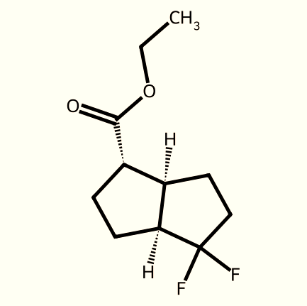 CCOC(=O)[C@H]1CC[C@H]2[C@@H]1CCC2(F)F